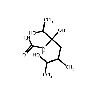 CC(CC(O)(NC(N)=O)C(O)C(Cl)(Cl)Cl)C(O)C(Cl)(Cl)Cl